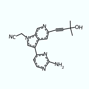 CC(C)(O)C#Cc1cc2c(-c3ccnc(N)n3)cn(CC#N)c2cn1